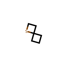 C1CC2(C1)CCS2